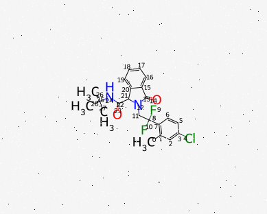 Cc1cc(Cl)ccc1C(F)(F)CN1C(=O)c2ccccc2C1C(=O)NC(C)(C)C